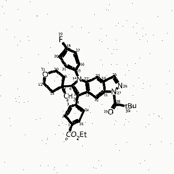 CCOC(=O)c1ccc(-c2c(C3(C)CCOCC3)n(-c3ccc(F)cc3)c3cc4cnn(C(=O)C(C)(C)C)c4cc23)cc1